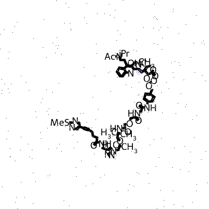 CSc1ncc(C#CCCCC(=O)NCc2cn(CC(C)(C)OCC(C)(C)NC(=O)COCC(=O)NCC(=O)Nc3ccc(COC(=O)OC4C(=O)OCC(C=O)=C4/C=C4/c5nc6ccccc6c(CCN(C(C)=O)C(C)C)c5CN4C)cc3)nn2)cn1